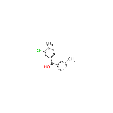 [CH2]c1cccc(B(O)c2ccc(C)c(Cl)c2)c1